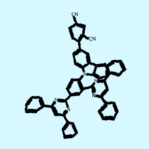 N#Cc1ccc(-c2ccc3c(c2)c2ccccc2n3-c2ccc(-c3nc(-c4ccccc4)cc(-c4ccccc4)n3)cc2-c2nc(-c3ccccc3)cc(-c3ccccc3)n2)c(C#N)c1